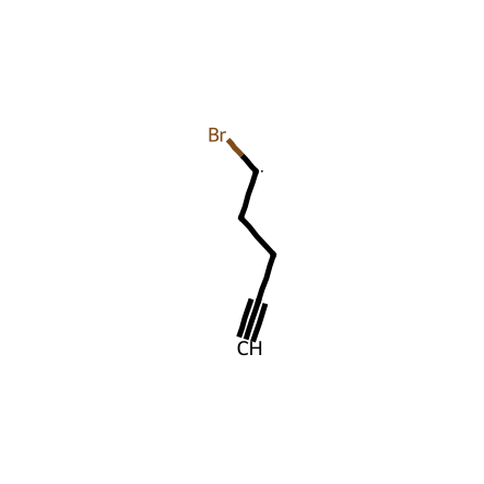 C#CCC[CH]Br